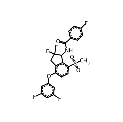 CS(=O)(=O)c1ccc(Oc2cc(F)cc(F)c2)c2c1C(NC(=O)c1ccc(F)cc1)C(F)(F)C2